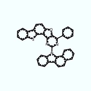 c1ccc(-c2nc(-n3c4ccccc4c4ccc5ccccc5c43)nc3c2oc2ccc4c5ccccc5sc4c23)cc1